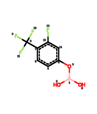 OB(O)Oc1ccc(C(F)(F)F)c(F)c1